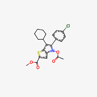 COC(=O)c1cc2c(s1)c(C1CCCCC1)c(-c1ccc(Cl)cc1)n2OC(C)=O